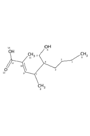 CCCCC(CO)C(C)/C=C(\C)C(=O)O